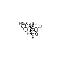 CCCCC(C(=O)O)N(c1c(C(=N)NO)ccc2ccccc12)S(=O)(=O)c1cc(Cl)cc(Cl)c1